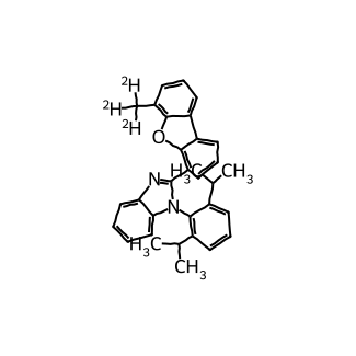 [2H]C([2H])([2H])c1cccc2c1oc1c(-c3nc4ccccc4n3-c3c(C(C)C)cccc3C(C)C)cccc12